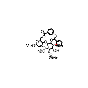 CCCCOC1=C[C@@H](OC)OC(COC(=O)c2ccccc2)[C@H]1O[C@@H]1OC(COOC)[C@@H](O)C(OCCCC)C1OC(=O)c1ccccc1